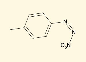 Cc1ccc(/N=N\[N+](=O)[O-])cc1